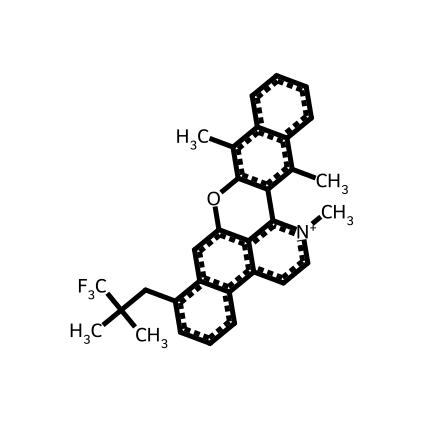 Cc1c2c(c(C)c3ccccc13)-c1c3c(cc4c(CC(C)(C)C(F)(F)F)cccc4c3cc[n+]1C)O2